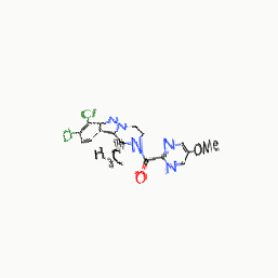 COc1cnc(C(=O)N2CCn3nc4c(Cl)c(Cl)ccc4c3[C@H]2C)nc1